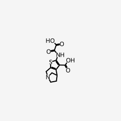 O=C(O)C(=O)Nc1sc2c(c1C(=O)O)C1CCN(C2)C1